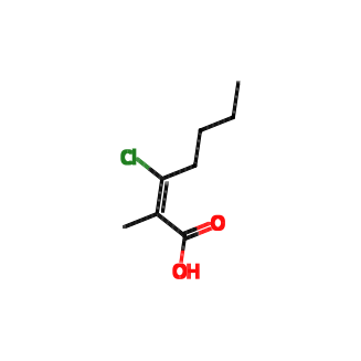 CCCCC(Cl)=C(C)C(=O)O